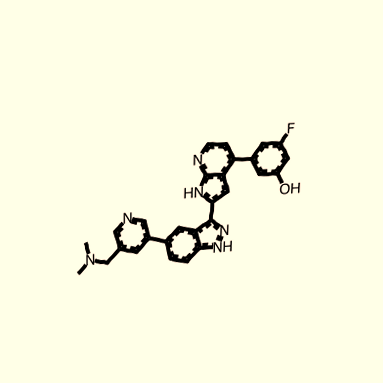 CN(C)Cc1cncc(-c2ccc3[nH]nc(-c4cc5c(-c6cc(O)cc(F)c6)ccnc5[nH]4)c3c2)c1